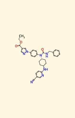 CCOC(=O)c1cnn(-c2ccc(N(C(=O)NCc3ccccc3)[C@H]3CC[C@H](Nc4ccc(C#N)cn4)CC3)cc2)c1